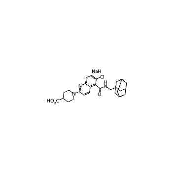 O=C(NCC12CC3CC(CC(C3)C1)C2)c1c(Cl)ccc2nc(N3CCC(C(=O)O)CC3)ccc12.[NaH]